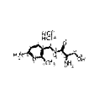 Cc1nc(N)ccc1CNC(=O)C(N)CO.Cl.Cl